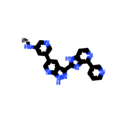 CC(C)Nc1cncc(-c2cnc3[nH]nc(-c4nc5c(-c6cccnc6)nccc5[nH]4)c3c2)c1